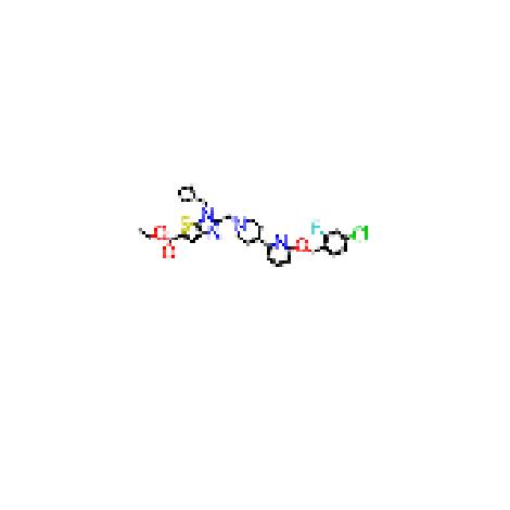 CCOC(=O)c1cc2nc(CN3CC=C(c4cccc(OCc5ccc(Cl)cc5F)n4)CC3)n(CC3CCC3)c2s1